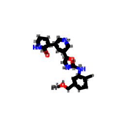 Cc1ccc(COC(C)C)cc1Nc1ncc(-c2cncc(-c3ccc[nH]c3=O)c2)o1